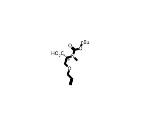 C=CCOC[C@H](C(=O)O)N(C)C(=O)OCCCC